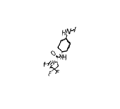 O=C(N[C@H]1CC[C@H](NI)CC1)[C@@H]1CC(F)(F)CN1